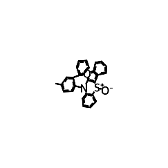 Cc1ccc(N2c3ccccc3[S+]([O-])c3c2oc2ccccc32)c(-c2ccccc2)c1